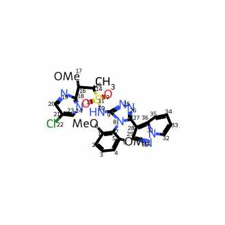 COc1cccc(OC)c1-n1c(NS(=O)(=O)C(C)C(OC)c2ncc(Cl)cn2)nnc1-c1cnn2ccccc12